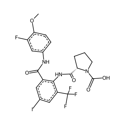 COc1ccc(NC(=O)c2cc(I)cc(C(F)(F)F)c2NC(=O)[C@@H]2CCCN2C(=O)O)cc1F